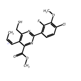 C/C=C\c1c(CS)nc(-c2ccc(Cl)c(OC)c2F)nc1C(=O)OC